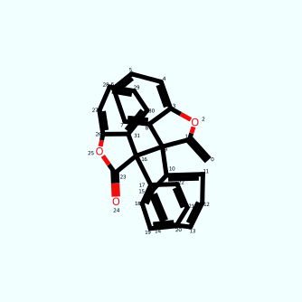 C=C1Oc2ccccc2C1(c1ccccc1)C1(c2ccccc2)C(=O)Oc2ccccc21